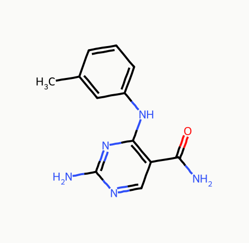 Cc1cccc(Nc2nc(N)ncc2C(N)=O)c1